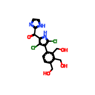 O=C(c1ncc[nH]1)c1[nH]c(Cl)c(-c2ccc(CO)c(CO)c2CO)c1Cl